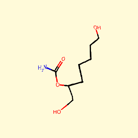 NC(=O)OC(CO)CCCCCO